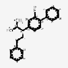 C[C@H](O)[C@H](CCc1ccccc1)c1ccc(-c2ccccc2)c(F)c1